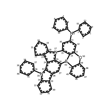 c1ccc(N(c2ccccc2)c2cc3c4c(c2)-n2c5ccccc5c5c2c(cc2c6ccccc6n(-c6ccccc6)c25)B4c2ccccc2O3)cc1